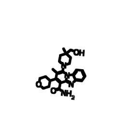 Cc1c(C2CCOCC2)c(C(N)=O)c2nc3ccccc3n2c1N1CCC(C)(CO)CC1